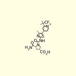 Cc1nc(NC(=O)N2C[C@H](C(=O)O)C[C@H]2C(N)=O)sc1-c1ccnc(C(C)(C)C(F)(F)F)c1